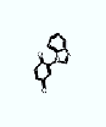 O=C1C=CC(=O)C(n2cnc3ccccc32)=C1